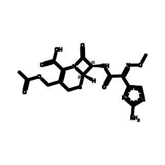 CON=C(C(=O)N[C@@H]1C(=O)N2C(C(=O)O)=C(COC(C)=O)CS[C@@H]12)c1csc(N)n1